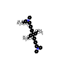 CC(C)(C)c1ccc2c(-c3ccc(-c4ccc(-c5ccc6c(c5)c5cc(C(C)(C)C)ccc5n6-c5ccccc5)cc4)cc3)c3cc(C(C)(C)C)ccc3c(-c3ccc(-c4ccc(-c5ccc6c(c5)c5ccccc5n6-c5ccccc5)cc4)cc3)c2c1